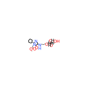 COC(=O)Cn1c(-c2ccccc2)ncc(NCCCO[C@@H]2CO[C@H]3[C@@H]2OC[C@H]3O)c1=O